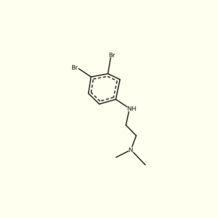 CN(C)CCNc1ccc(Br)c(Br)c1